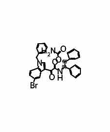 NC(=O)O[C@H](c1ccccc1)[C@H](NC(=O)C(=O)c1cn(Cc2ccccc2)c2ccc(Br)cc12)c1ccccc1